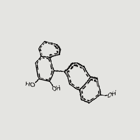 Oc1ccc2cc(-c3c(O)c(O)cc4ccccc34)ccc2c1